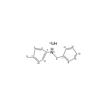 Cc1ccc(NCc2ccccc2)cc1.[LiH]